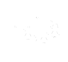 COCCN(C)c1ncc2ncnc(Nc3cc(C(=O)Nc4cc(N(C)CCN(C)C)cc(C(F)(F)F)c4)ccc3C)c2n1